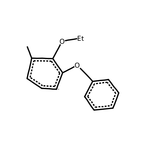 CCOc1c(Oc2ccccc2)[c]ccc1C